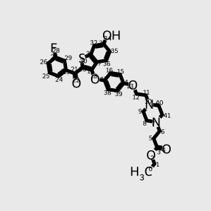 CCOC(=O)CCN1CCN(CCOc2ccc(Oc3c(C(=O)c4cccc(F)c4)sc4cc(O)ccc34)cc2)CC1